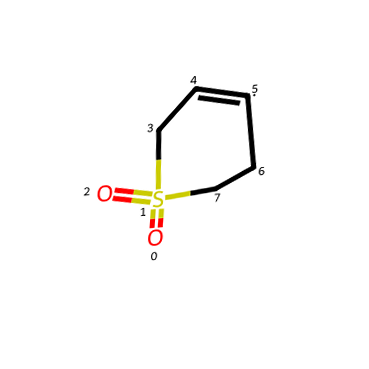 O=S1(=O)CC=[C]CC1